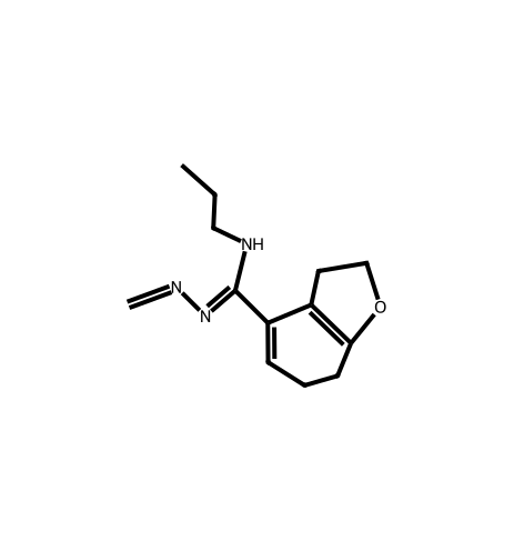 C=N/N=C(\NCCC)C1=CCCC2=C1CCO2